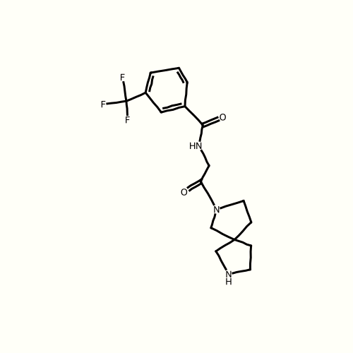 O=C(NCC(=O)N1CCC2(CCNC2)C1)c1cccc(C(F)(F)F)c1